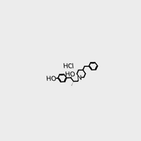 C[C@@H](CN1CCC(Cc2ccccc2)CC1)[C@@H](O)c1ccc(O)cc1.Cl